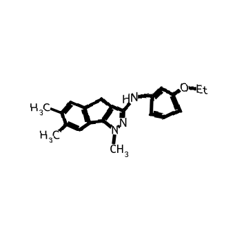 CCOc1cccc(Nc2nn(C)c3c2Cc2cc(C)c(C)cc2-3)c1